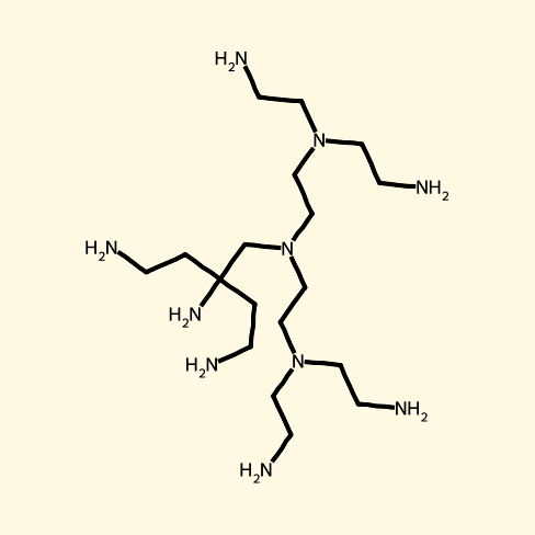 NCCN(CCN)CCN(CCN(CCN)CCN)CC(N)(CCN)CCN